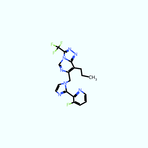 CCCc1c(Cn2ccnc2-c2ncccc2F)ncn2c(C(F)(F)F)nnc12